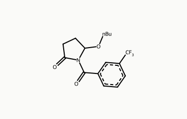 CCCCOC1CCC(=O)N1C(=O)c1cccc(C(F)(F)F)c1